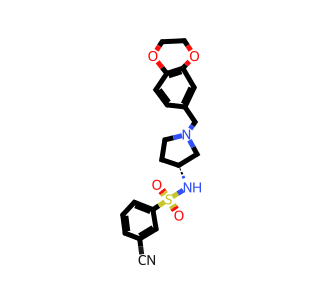 N#Cc1cccc(S(=O)(=O)N[C@@H]2CCN(Cc3ccc4c(c3)OCCO4)C2)c1